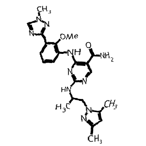 COc1c(Nc2nc(NC(C)Cn3nc(C)cc3C)ncc2C(N)=O)cccc1-c1ncn(C)n1